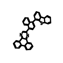 C1=CC2Sc3c(-c4ccc(-c5cnc6c7ccccc7c7ccccc7c6n5)c5ccccc45)cccc3C2C=C1